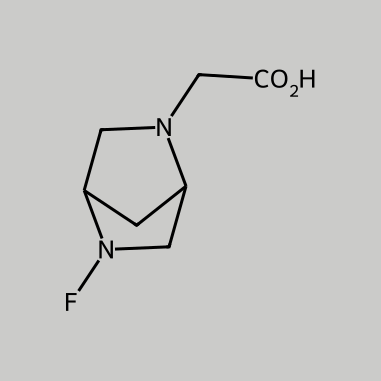 O=C(O)CN1CC2CC1CN2F